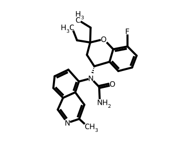 CCC1(CC)C[C@@H](N(C(N)=O)c2cccc3cnc(C)cc23)c2cccc(F)c2O1